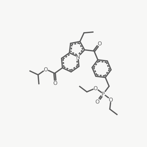 CCOP(=O)(Cc1ccc(C(=O)c2c(CC)cc3cc(C(=O)OC(C)C)ccn23)cc1)OCC